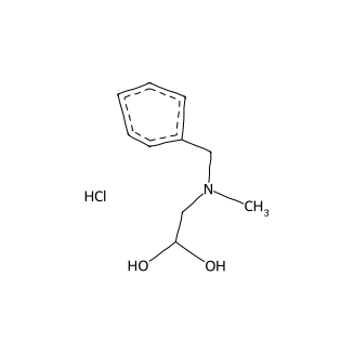 CN(Cc1ccccc1)CC(O)O.Cl